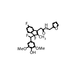 COc1cc(C(F)C2(F)C(C)=C(CC(=O)NCc3ccco3)c3cc(F)ccc32)cc(OC)c1O